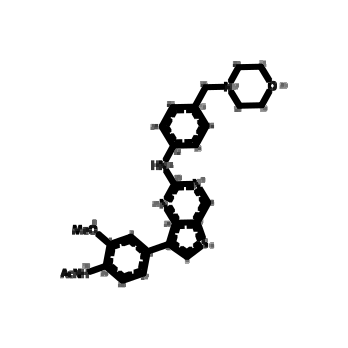 COc1cc(-c2csc3cnc(Nc4ccc(CN5CCOCC5)cc4)nc23)ccc1NC(C)=O